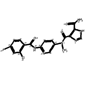 CN(C(=O)c1nc[nH]c1C(N)=O)c1ccc(NC(=O)c2ccc(F)cc2Cl)nc1